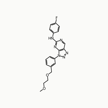 COCCOCc1cccc(-n2nnc3cnc(Nc4ccc(F)cc4)nc32)c1